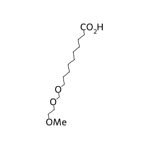 COCCOCOCCCCCCCCCC(=O)O